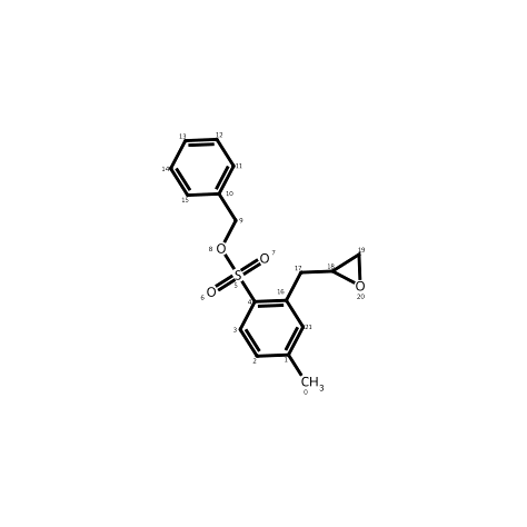 Cc1ccc(S(=O)(=O)OCc2ccccc2)c(CC2CO2)c1